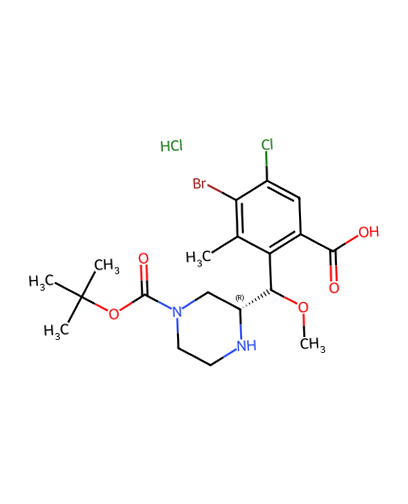 COC(c1c(C(=O)O)cc(Cl)c(Br)c1C)[C@H]1CN(C(=O)OC(C)(C)C)CCN1.Cl